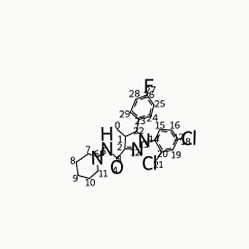 CC1C(C(=O)NN2CCCCC2)=NN(c2ccc(Cl)cc2Cl)C1c1ccc(F)cc1